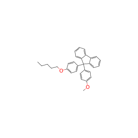 CCCCCOc1ccc(C2(c3ccc(OC)cc3)c3ccccc3-c3ccccc32)cc1